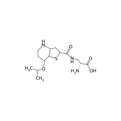 CC(C)OC1CCNC2CC(C(=O)NC[C@@H](N)C(=O)O)SC21